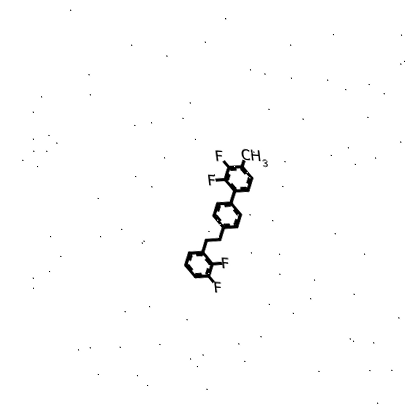 Cc1ccc(-c2ccc(CCc3cccc(F)c3F)cc2)c(F)c1F